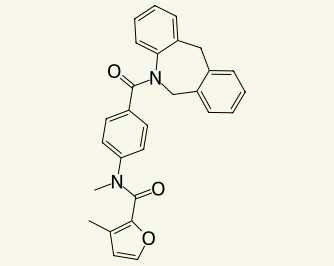 Cc1ccoc1C(=O)N(C)c1ccc(C(=O)N2Cc3ccccc3Cc3ccccc32)cc1